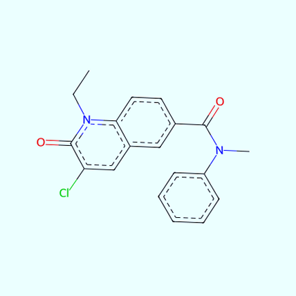 CCn1c(=O)c(Cl)cc2cc(C(=O)N(C)c3ccccc3)ccc21